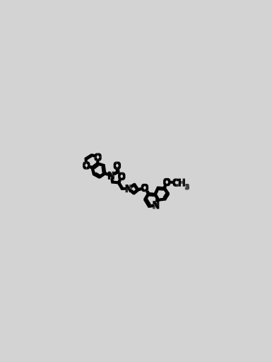 COc1ccc2nccc(OC3CN(CC4CN(c5ccc6c(c5)OCCO6)C(=O)O4)C3)c2c1